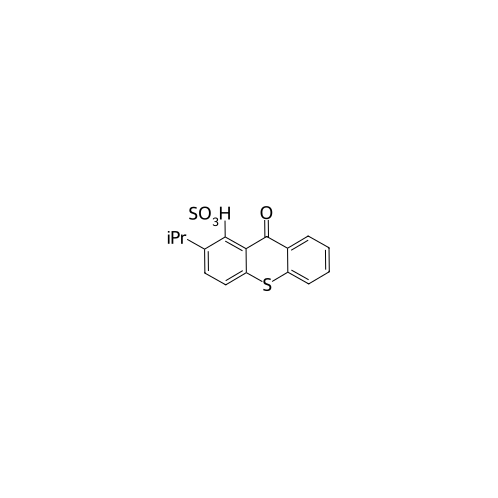 CC(C)c1ccc2sc3ccccc3c(=O)c2c1S(=O)(=O)O